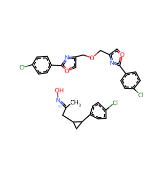 C/C(CC1CC1c1ccc(Cl)cc1)=N\O.Clc1ccc(-c2nc(COCc3coc(-c4ccc(Cl)cc4)n3)co2)cc1